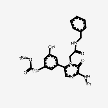 CC(C)Nc1ncc(-c2cc(O)cc(NC(=O)OC(C)(C)C)c2)n(CC(=O)NCc2cc[c]cc2)c1=O